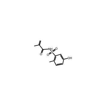 C=C(C)C(=O)NS(=O)(=O)c1cc(O)ccc1C